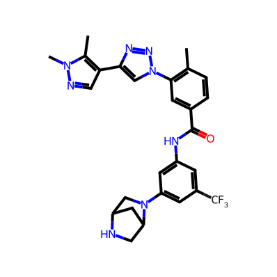 Cc1ccc(C(=O)Nc2cc(N3CC4CC3CN4)cc(C(F)(F)F)c2)cc1-n1cc(-c2cnn(C)c2C)nn1